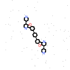 c1cc(-c2ccnc3c2oc2ccc(-c4ccc(-c5ccc6oc7c(-c8ccncc8)ccnc7c6c5)cc4)cc23)ccn1